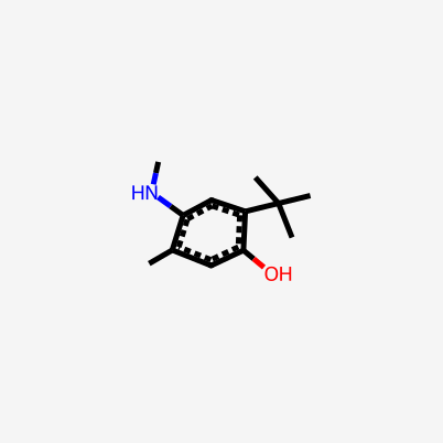 CNc1cc(C(C)(C)C)c(O)cc1C